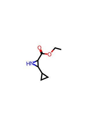 CCOC(=O)C1NC1C1CC1